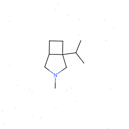 CC(C)C12CCC1CN(C)C2